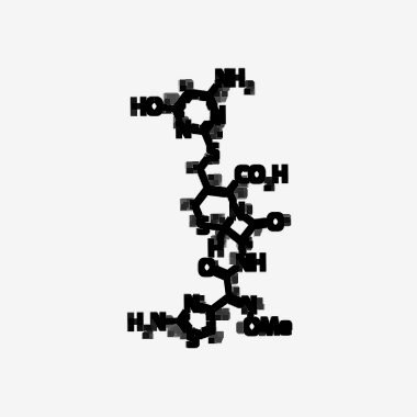 CON=C(C(=O)N[C@@H]1C(=O)N2C(C(=O)O)=C(CSc3nc(N)cc(O)n3)CS[C@@H]12)c1csc(N)n1